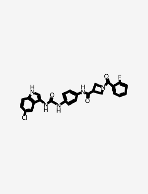 O=C(Nc1ccc(NC(=O)C2CN(C(=O)c3ccccc3F)C2)cc1)Nc1c[nH]c2ccc(Cl)cc12